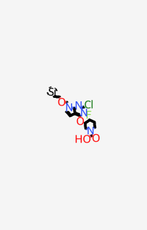 C[Si](C)(C)CCOCn1ccc2c(O[C@@H]3CN(C(=O)O)CC[C@@H]3F)nc(Cl)nc21